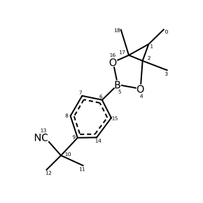 CC1C2(C)OB(c3ccc(C(C)(C)C#N)cc3)OC12C